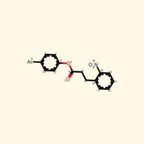 CC(=O)c1ccc(OC(=O)CCc2ccccc2[N+](=O)[O-])cc1